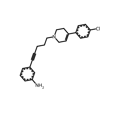 Nc1cccc(C#CCCCN2CC=C(c3ccc(Cl)cc3)CC2)c1